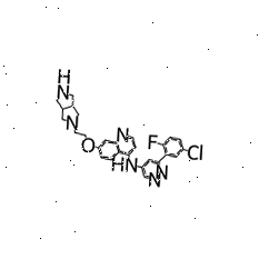 Fc1ccc(Cl)cc1-c1cc(Nc2ccnc3cc(OCCN4CC5CNCC5C4)ccc23)cnn1